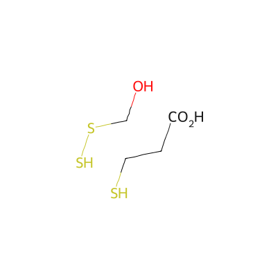 O=C(O)CCS.OCSS